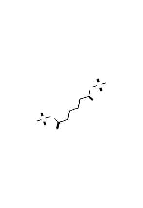 CS(=O)(=O)OC(=O)CCCCC(=O)OS(C)(=O)=O